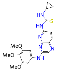 COc1cc(Nc2cnc3ccc(NC(=S)NC4CC4)nc3n2)cc(OC)c1OC